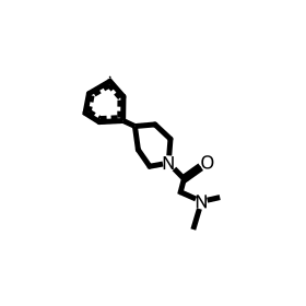 CN(C)CC(=O)N1CCC(c2c[c]ccc2)CC1